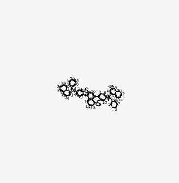 c1ccc(N(c2ccc3c(c2)Sc2cccc4c2c-3cc2sc3cc(N(c5ccccc5)c5cccc6ccccc56)ccc3c24)c2cccc3ccccc23)cc1